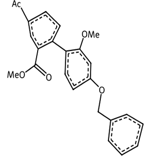 COC(=O)c1cc(C(C)=O)ccc1-c1ccc(OCc2ccccc2)cc1OC